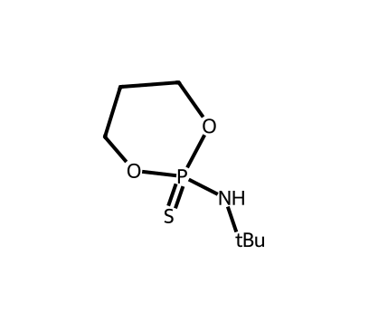 CC(C)(C)NP1(=S)OCCCO1